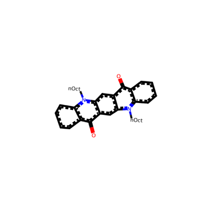 CCCCCCCCn1c2ccccc2c(=O)c2cc3c(cc21)c(=O)c1ccccc1n3CCCCCCCC